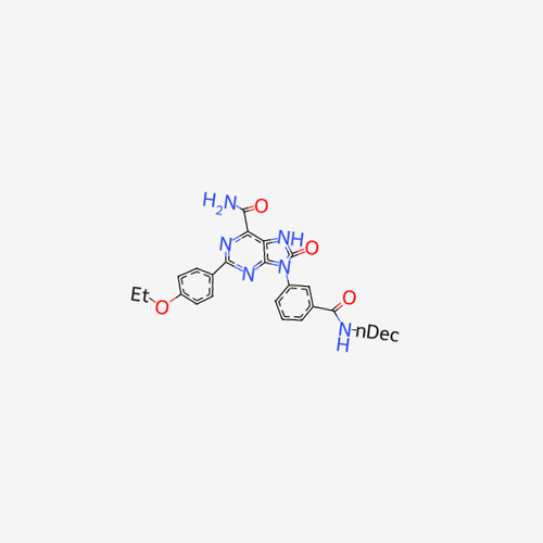 CCCCCCCCCCNC(=O)c1cccc(-n2c(=O)[nH]c3c(C(N)=O)nc(-c4ccc(OCC)cc4)nc32)c1